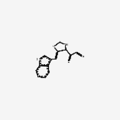 O=CC(=O)C1NCSC1=Cc1c[nH]c2ccccc12